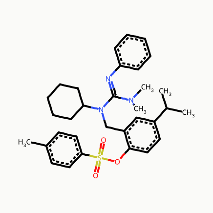 Cc1ccc(S(=O)(=O)Oc2ccc(C(C)C)cc2CN(C(=Nc2ccccc2)N(C)C)C2CCCCC2)cc1